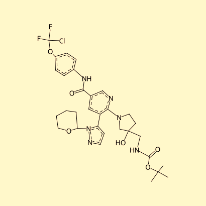 CC(C)(C)OC(=O)NCC1(O)CCN(c2ncc(C(=O)Nc3ccc(OC(F)(F)Cl)cc3)cc2-c2ccnn2C2CCCCO2)C1